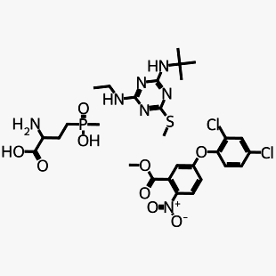 CCNc1nc(NC(C)(C)C)nc(SC)n1.COC(=O)c1cc(Oc2ccc(Cl)cc2Cl)ccc1[N+](=O)[O-].CP(=O)(O)CCC(N)C(=O)O